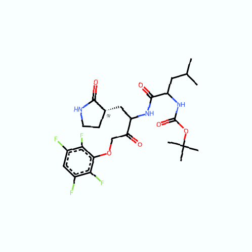 CC(C)CC(NC(=O)OC(C)(C)C)C(=O)NC(C[C@@H]1CCNC1=O)C(=O)COc1c(F)c(F)cc(F)c1F